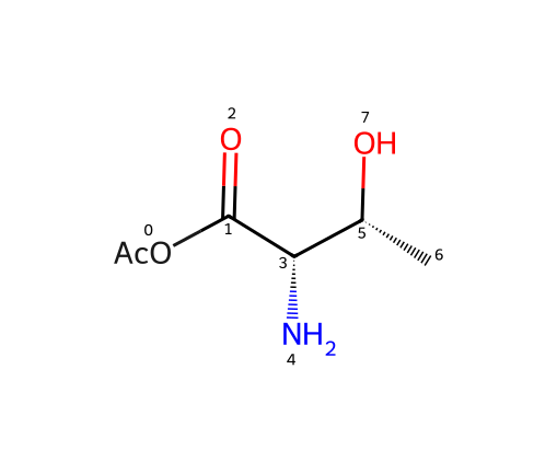 CC(=O)OC(=O)[C@@H](N)[C@@H](C)O